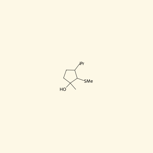 CSC1C(C(C)C)CCC1(C)O